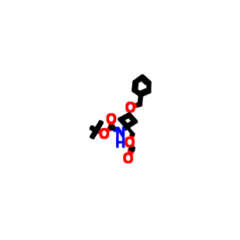 CC(C)(C)OC(=O)N[C@]1(COC=O)C[C@H](OCc2ccccc2)C1